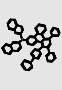 c1ccc(-c2ccc(-c3c(-c4ccccc4)cc(-c4ccccc4)c4c5ccccc5c5cc(N(c6ccc7ccccc7c6)c6ccc7ccccc7c6)ccc5c34)cc2)cc1